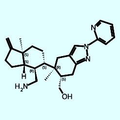 C=C1CC[C@H]2[C@H](CN)[C@@H]([C@@]3(C)Cc4cn(-c5ccccn5)nc4C[C@@H]3CO)CC[C@]12C